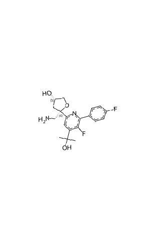 CC(C)(O)c1cc([C@@]2(CN)C[C@H](O)CO2)nc(-c2ccc(F)cc2)c1F